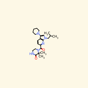 CC(C)Cn1cc(N2CCCCC2)c2ccc(C(=O)N3CCNC(=O)C3(C)C)nc21